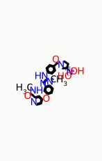 CNC(=O)c1cc(Oc2ccc3c(c2)nc(Nc2ccc(C(=O)N4CC[C@@H](N(O)O)C4)cc2)n3C)ccn1